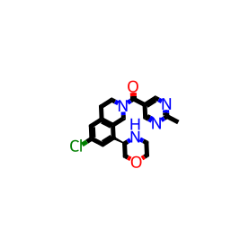 Cc1ncc(C(=O)N2CCc3cc(Cl)cc([C@@H]4COCCN4)c3C2)cn1